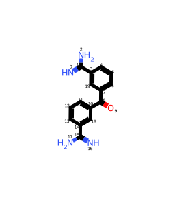 N=C(N)c1cccc(C(=O)c2cccc(C(=N)N)c2)c1